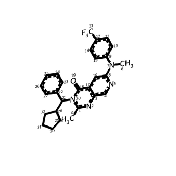 Cc1nc2cnc(N(C)c3ccc(C(F)(F)F)cc3)cc2c(=O)n1C(c1ccccc1)C1CCCC1